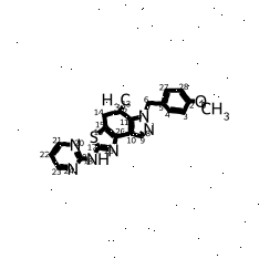 COc1ccc(Cn2ncc3c2C(C)Cc2sc(Nc4ncccn4)nc2-3)cc1